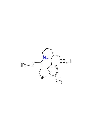 CC(C)CCC(CCC(C)C)N1CCC[C@H](CC(=O)O)[C@H]1c1ccc(C(F)(F)F)cc1